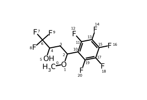 COC(CC(O)C(F)(F)F)c1c(F)c(F)c(F)c(F)c1F